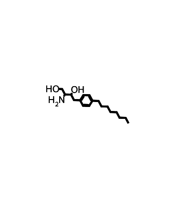 CCCCCCCCc1ccc(CC(O)C(N)CO)cc1